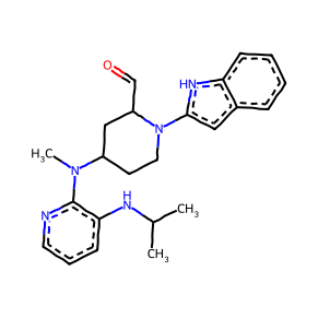 CC(C)Nc1cccnc1N(C)C1CCN(c2cc3ccccc3[nH]2)C(C=O)C1